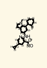 Cn1ccc2cc(Nc3ncc(C4CC4)cc3C(=O)N=O)cc(-c3ccccc3F)c21